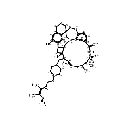 C=N/C(C)=C(/C)OCCN1CCN(C[C@]2(OC)/C=C/C[C@H](C)[C@@H](C)S(=O)(=O)NC(=O)c3ccc4c(c3)N(C[C@@H]3CC[C@H]32)C[C@@]2(CCCc3cc(Cl)ccc32)CO4)CC1